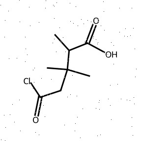 CC(C(=O)O)C(C)(C)CC(=O)Cl